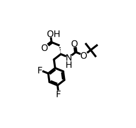 CC(C)(C)OC(=O)N[C@@H](CC(=O)O)Cc1ccc(F)cc1F